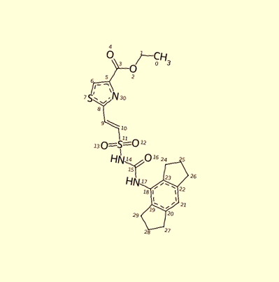 CCOC(=O)c1csc(/C=C/S(=O)(=O)NC(=O)Nc2c3c(cc4c2CCC4)CCC3)n1